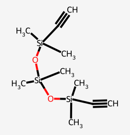 C#C[Si](C)(C)O[Si](C)(C)O[Si](C)(C)C#C